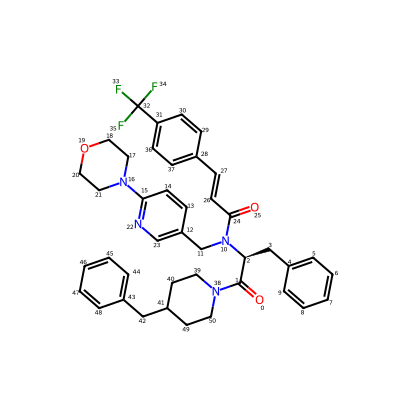 O=C([C@H](Cc1ccccc1)N(Cc1ccc(N2CCOCC2)nc1)C(=O)C=Cc1ccc(C(F)(F)F)cc1)N1CCC(Cc2ccccc2)CC1